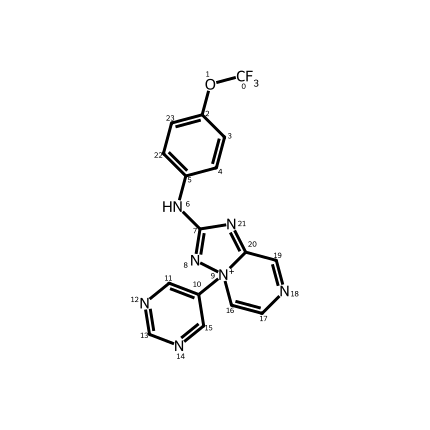 FC(F)(F)Oc1ccc(NC2=N[N+]3(c4cncnc4)C=CN=CC3=N2)cc1